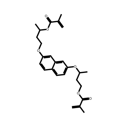 C=C(C)C(=O)OCCC(C)Oc1ccc2ccc(OCCC(C)OC(=O)C(=C)C)cc2c1